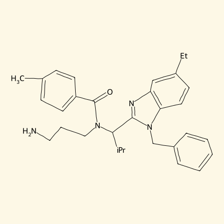 CCc1ccc2c(c1)nc(C(C(C)C)N(CCCN)C(=O)c1ccc(C)cc1)n2Cc1ccccc1